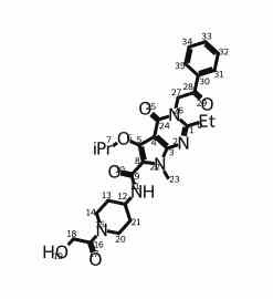 CCc1nc2c(c(OC(C)C)c(C(=O)NC3CCN(C(=O)CO)CC3)n2C)c(=O)n1CC(=O)c1ccccc1